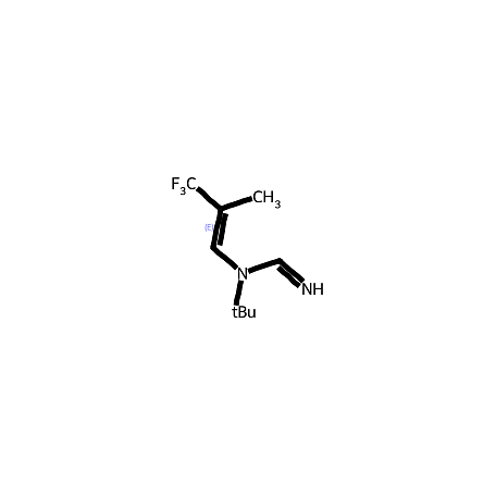 C/C(=C\N(C=N)C(C)(C)C)C(F)(F)F